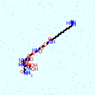 CC(=O)N(CC(=O)N[C@H](CO)C(=O)N[C@@H](CCC(N)=O)C(=O)N[C@@H](CO)C(=O)O)OCCOCCNC(=O)COCCOCCNC(=O)CCCCCCCCCCCCCCCc1nnn[nH]1